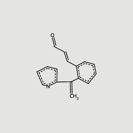 C=C(c1ccccn1)c1ccccc1/C=C/[C]=O